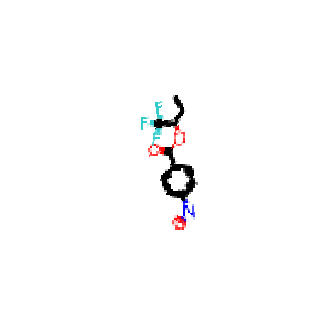 CCC(OC(=O)c1ccc(N=O)cc1)C(F)(F)F